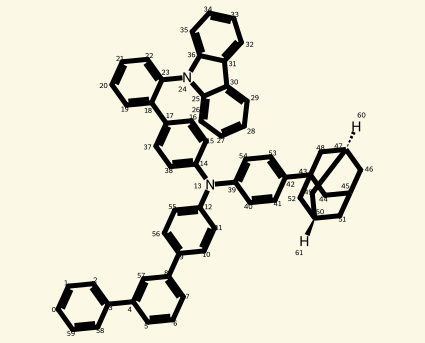 c1ccc(-c2cccc(-c3ccc(N(c4ccc(-c5ccccc5-n5c6ccccc6c6ccccc65)cc4)c4ccc(C56CC7C[C@H](C5)C[C@H](C7)C6)cc4)cc3)c2)cc1